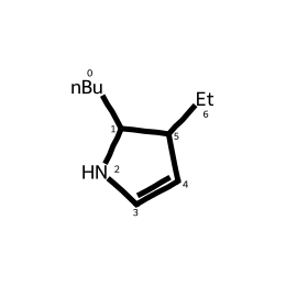 CCCCC1NC=CC1CC